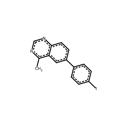 Cc1ncnc2ccc(-c3ccc(I)cc3)cc12